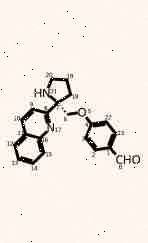 O=Cc1ccc(OC[C@@]2(c3ccc4ccccc4n3)CCCN2)cc1